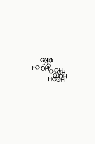 O=C1N[C@@](c2ccccc2)(c2ccc(-c3cccc([C@H](O)[C@H]4OC(O)[C@H](O)[C@@H](O)[C@@H]4O)c3)cc2)[C@H]1CC[C@H](O)c1ccc(F)cc1